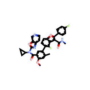 CNC(=O)c1c(-c2ccc(F)cc2)oc2ccc(-c3cc(C(=O)N(c4nc5ccncc5o4)C4CC4)c(OC)cc3C)c(F)c12